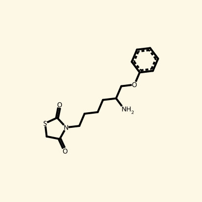 NC(CCCCN1C(=O)CSC1=O)COc1ccccc1